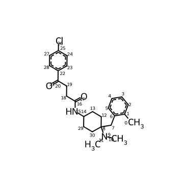 Cc1ccccc1CC1(N(C)C)CCC(NC(=O)CCC(=O)c2ccc(Cl)cc2)CC1